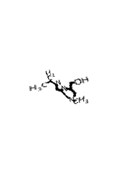 CC(C)c1cc2n(n1)C(CO)CN(C)C2